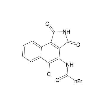 CCCC(=O)Nc1c2c(c3ccccc3c1Cl)C(=O)NC2=O